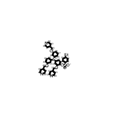 CCc1ccc(S(=O)(=O)[O-])cc1.c1cc(OCc2ccncc2)cc([S+](c2cccc(OCc3ccncc3)c2)c2cccc(OCc3ccncc3)c2)c1